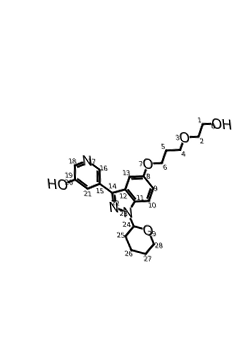 OCCOCCCOc1ccc2c(c1)c(-c1cncc(O)c1)nn2C1CCCCO1